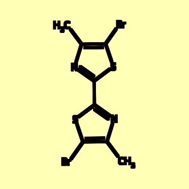 Cc1nc(-c2nc(C)c(Br)s2)sc1Br